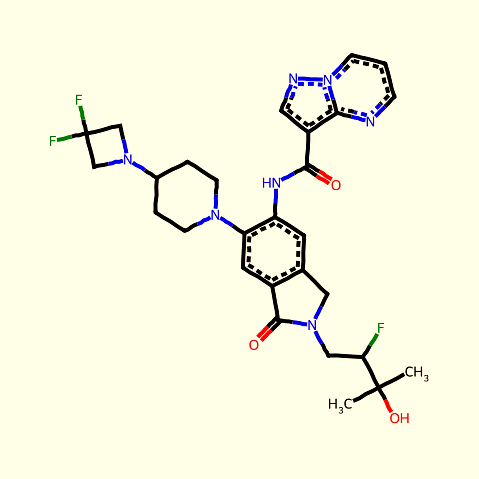 CC(C)(O)C(F)CN1Cc2cc(NC(=O)c3cnn4cccnc34)c(N3CCC(N4CC(F)(F)C4)CC3)cc2C1=O